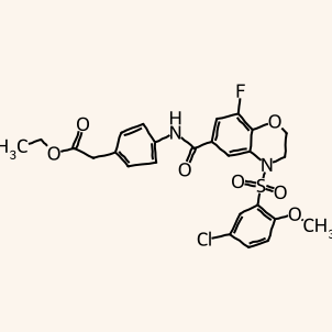 CCOC(=O)Cc1ccc(NC(=O)c2cc(F)c3c(c2)N(S(=O)(=O)c2cc(Cl)ccc2OC)CCO3)cc1